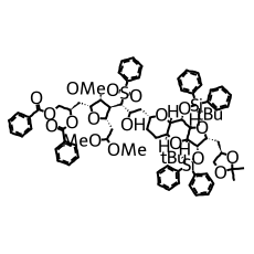 COC(C[C@@H]1O[C@H](C[C@H](COC(=O)c2ccccc2)OC(=O)c2ccccc2)[C@H](OC)[C@H]1[C@@H](C(O)C[C@H]1CC[C@@H]2O[C@@H]3[C@@H](O[C@H](C[C@@H]4COC(C)(C)O4)[C@@H]3O[Si](c3ccccc3)(c3ccccc3)C(C)(C)C)[C@@H](O[Si](c3ccccc3)(c3ccccc3)C(C)(C)C)[C@H]2O1)S(=O)(=O)c1ccccc1)OC